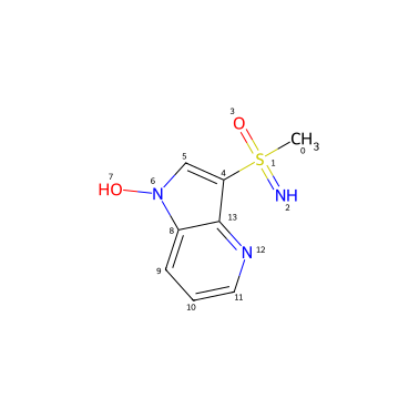 CS(=N)(=O)c1cn(O)c2cccnc12